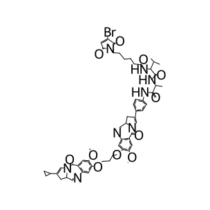 COc1cc2c(cc1OCCCOc1cc3c(cc1OC)C(=O)N1C=C(C4CC4)CC1C=N3)N=CC1CC(c3ccc(NC(=O)C(C)NC(=O)C(NC(=O)CCCCCN4C(=O)C=C(Br)C4=O)C(C)C)cc3)=CN1C2=O